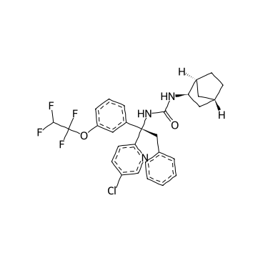 O=C(N[C@@H]1C[C@H]2CC[C@H]1C2)N[C@@](Cc1ccccc1)(c1cccc(OC(F)(F)C(F)F)c1)c1ccc(Cl)cn1